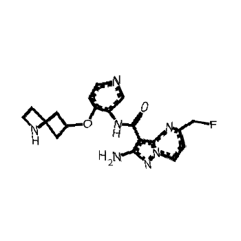 Nc1nn2ccc(CF)nc2c1C(=O)Nc1cnccc1OC1CC2(CCN2)C1